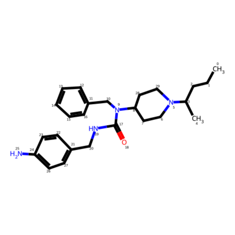 CCCC(C)N1CCC(N(Cc2ccccc2)C(=O)NCc2ccc(N)cc2)CC1